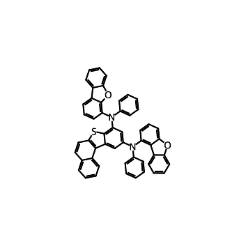 c1ccc(N(c2cccc3c2oc2ccccc23)c2cc(N(c3ccccc3)c3cccc4oc5ccccc5c34)cc3c2sc2ccc4ccccc4c23)cc1